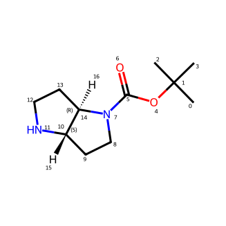 CC(C)(C)OC(=O)N1CC[C@@H]2NCC[C@H]21